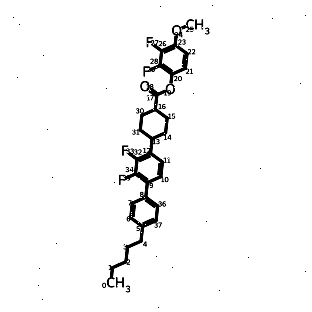 CCCCCc1ccc(-c2ccc(C3CCC(C(=O)Oc4ccc(OC)c(F)c4F)CC3)c(F)c2F)cc1